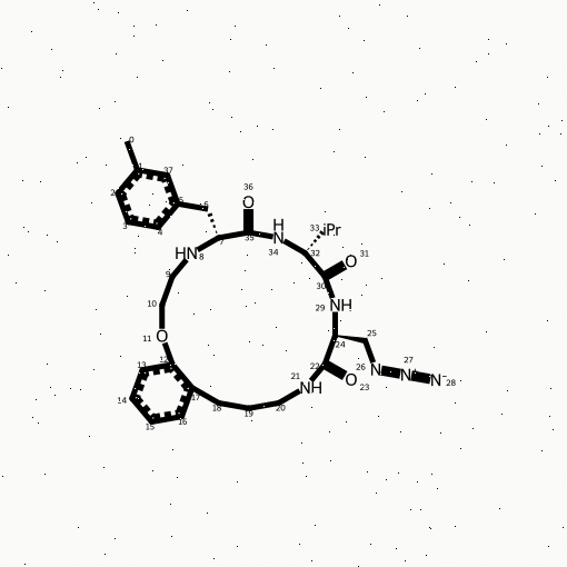 Cc1cccc(C[C@H]2NCCOc3ccccc3CCCNC(=O)[C@H](CN=[N+]=[N-])NC(=O)[C@@H](C(C)C)NC2=O)c1